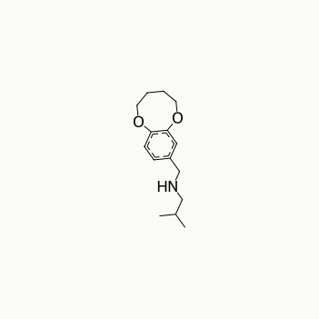 CC(C)CNCc1ccc2c(c1)OCCCCO2